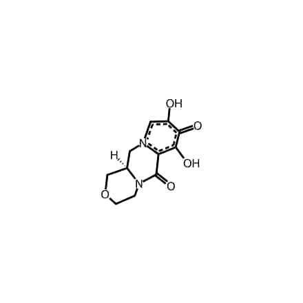 O=C1c2c(O)c(=O)c(O)cn2C[C@@H]2COCCN12